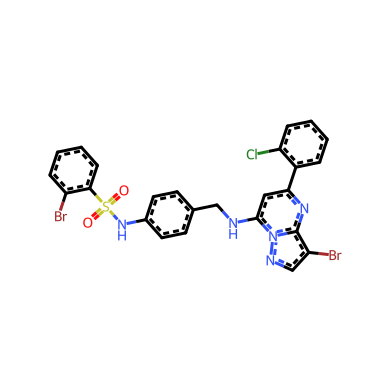 O=S(=O)(Nc1ccc(CNc2cc(-c3ccccc3Cl)nc3c(Br)cnn23)cc1)c1ccccc1Br